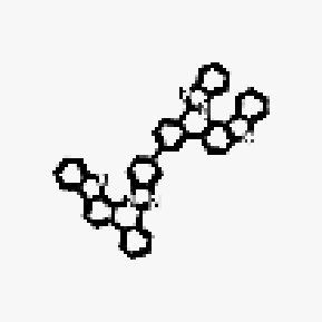 c1ccc2c(c1)nc1c3ccc(-c4ccc5c(c4)nc4c6ccccc6c6ccc7c8ccccc8oc7c6n54)cc3c3ccc4oc5ccccc5c4c3n21